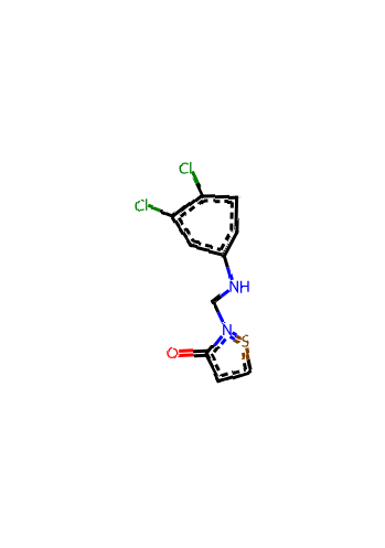 O=c1ccsn1CNc1ccc(Cl)c(Cl)c1